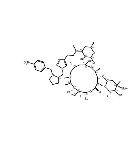 CC[C@H]1OC(=O)[C@H](C)[C@@H](O[C@H]2C[C@@](C)(OC)[C@@H](O)[C@H](C)O2)[C@H](C)[C@@H](O[C@@H]2O[C@H](C)C[C@H](N(C)CCc3cn(C[C@H]4CCCN4Cc4ccc([N+](=O)[O-])cc4)nn3)[C@H]2O)[C@](C)(O)C[C@@H](C)CN(C)[C@H](C)[C@@H](O)[C@]1(C)O